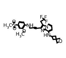 COc1cc(S(C)(=O)=O)ccc1NCC#Cc1nc2c(NC3CC4(COC4)C3)cccn2c1CC(F)(F)F